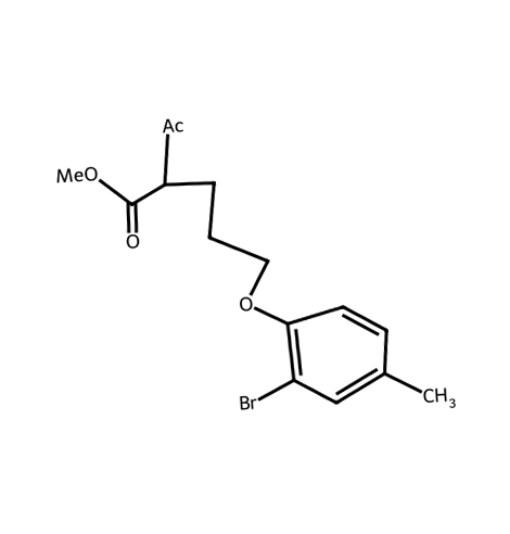 COC(=O)C(CCCOc1ccc(C)cc1Br)C(C)=O